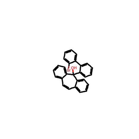 OC1(c2ccccc2-c2ccccc2Br)c2ccccc2C=Cc2ccccc21